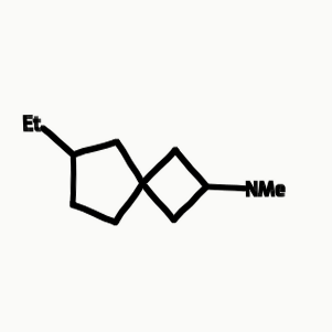 CCC1CCC2(C1)CC(NC)C2